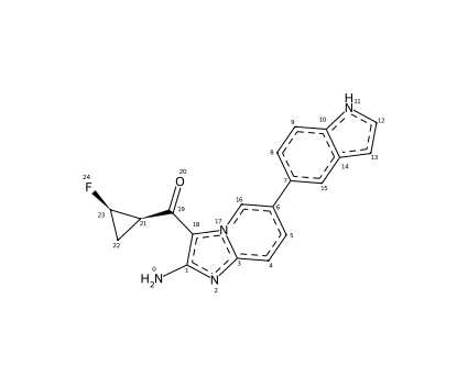 Nc1nc2ccc(-c3ccc4[nH]ccc4c3)cn2c1C(=O)[C@H]1C[C@H]1F